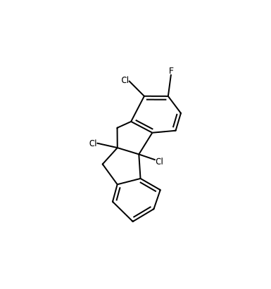 Fc1ccc2c(c1Cl)CC1(Cl)Cc3ccccc3C21Cl